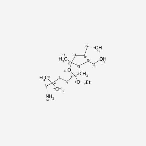 CCO[Si](C)(CCC(C)(C)CN)OC(C)(CCCO)CCCO